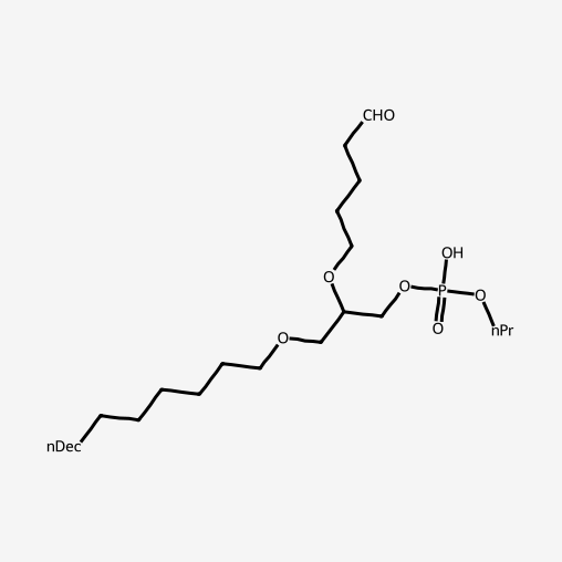 CCCCCCCCCCCCCCCCOCC(COP(=O)(O)OCCC)OCCCCC=O